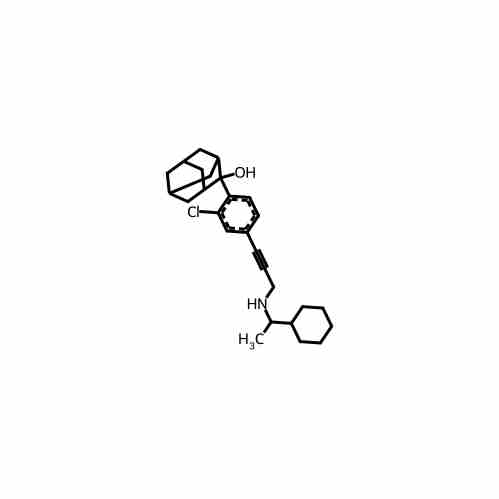 CC(NCC#Cc1ccc(C2(O)C3CC4CC(C3)CC2C4)c(Cl)c1)C1CCCCC1